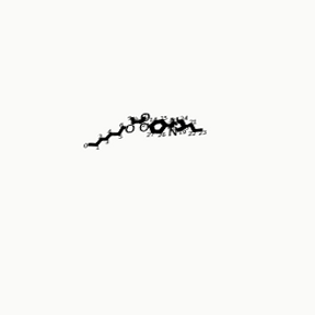 CCCCCCCOC(C)C(=O)Oc1ccc(-c2ncc(CCC)cn2)cc1